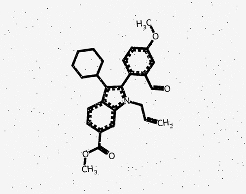 C=CCn1c(-c2ccc(OC)cc2C=O)c(C2CCCCC2)c2ccc(C(=O)OC)cc21